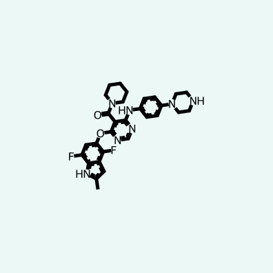 Cc1cc2c(F)c(Oc3ncnc(Nc4ccc(N5CCNCC5)cc4)c3C(=O)N3CCCCC3)cc(F)c2[nH]1